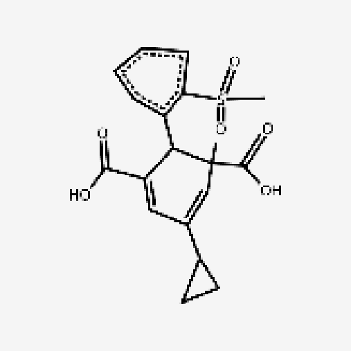 CC1(C(=O)O)C=C(C2CC2)C=C(C(=O)O)C1c1ccccc1S(C)(=O)=O